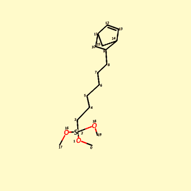 CO[Si](CCCCCCC1CC2C=CC1C2)(OC)OC